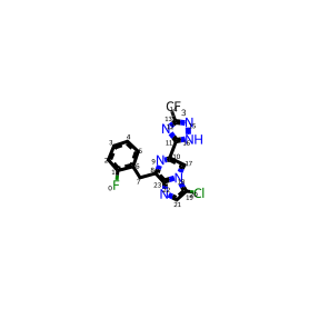 Fc1ccccc1Cc1nc(-c2nc(C(F)(F)F)n[nH]2)cn2c(Cl)cnc12